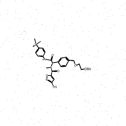 COCCOCc1ccc(C(C(=O)Nc2ccc([Si](C)(C)C)cc2)N(C)C(=O)c2cc(O)no2)cc1